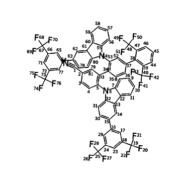 N#Cc1ccc(-n2c3ccccc3c3cc(-c4cc(C(F)(F)F)cc(C(F)(F)F)c4)ccc32)c(-c2ccc(-c3c(C(F)(F)F)cccc3C(F)(F)F)cc2-n2c3ccccc3c3cc(-c4cc(C(F)(F)F)cc(C(F)(F)F)c4)ccc32)c1